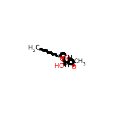 C=CCCCCCCCC[C@@H]1CCC[C@]2(C=C(CO)[C@H]3CC(=O)C(C)=C[C@H]3O2)O1